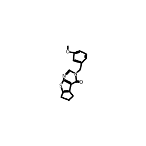 COc1cccc(Cn2cnc3sc4c(c3c2=O)CCC4)c1